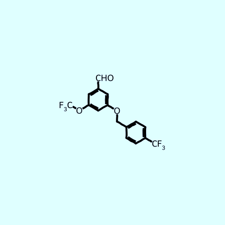 O=Cc1cc(OCc2ccc(C(F)(F)F)cc2)cc(OC(F)(F)F)c1